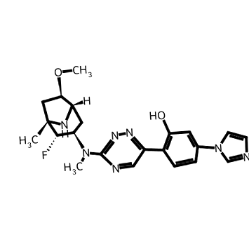 CO[C@@H]1C[C@]2(C)N[C@H]1C[C@@H](N(C)c1ncc(-c3ccc(-n4ccnc4)cc3O)nn1)[C@@H]2F